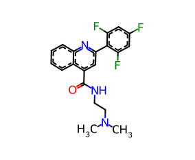 CN(C)CCNC(=O)c1cc(-c2c(F)cc(F)cc2F)nc2ccccc12